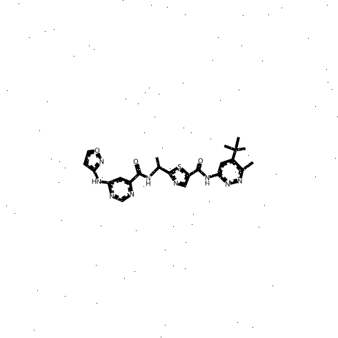 Cc1nnc(NC(=O)c2cnc(C(C)NC(=O)c3cc(Nc4ccon4)ncn3)s2)cc1C(C)(C)C